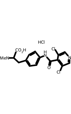 CNC(Cc1ccc(NC(=O)c2c(Cl)cncc2Cl)cc1)C(=O)O.Cl